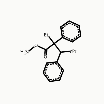 CCCC(c1ccccc1)C(CC)(C(=O)O[SiH3])c1ccccc1